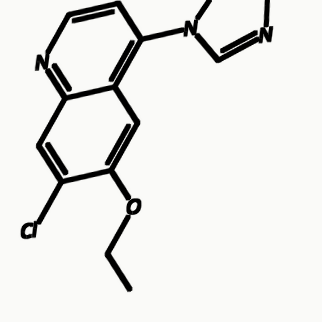 CCOc1cc2c(-n3ccnc3)ccnc2cc1Cl